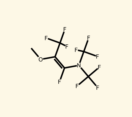 CO/C(=C(\F)N(C(F)(F)F)C(F)(F)F)C(F)(F)F